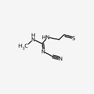 CNC(=NC#N)NCC=S